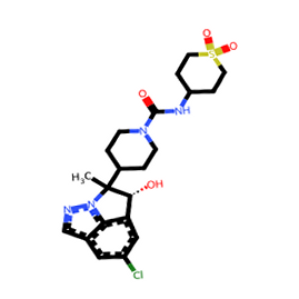 CC1(C2CCN(C(=O)NC3CCS(=O)(=O)CC3)CC2)[C@H](O)c2cc(Cl)cc3cnn1c23